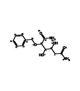 NC(=O)CC(O)C(O)C(OCc1ccccc1)C(N)=O